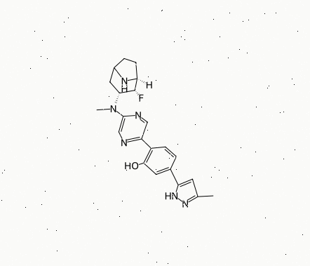 Cc1cc(-c2ccc(-c3cnc(N(C)[C@@H]4CC5CC[C@H](N5)[C@@H]4F)cn3)c(O)c2)[nH]n1